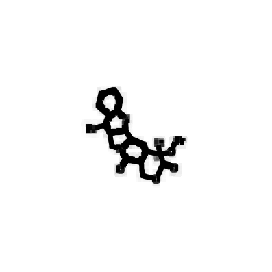 CCc1c2c(nc3ccccc13)-c1cc3c(c(=O)n1C2)COC(=O)[C@@]3(CC)OC(C)C